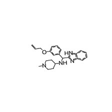 C=CCOc1cccc(C(NC2CCN(C)CC2)c2nc3ccccc3[nH]2)c1